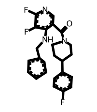 O=C(c1cnc(F)c(F)c1NCc1ccccc1)N1CCC(c2ccc(F)cc2)CC1